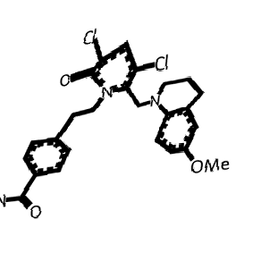 COc1ccc2c(c1)CCCN2Cc1c(Cl)cc(Cl)c(=O)n1CCc1ccc(C(=O)N=O)cc1